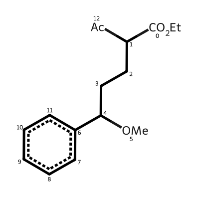 CCOC(=O)C(CCC(OC)c1ccccc1)C(C)=O